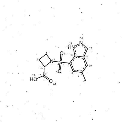 Cc1cc(S(=O)(=O)N2CC[C@H]2C(=O)O)c2[nH]ncc2c1